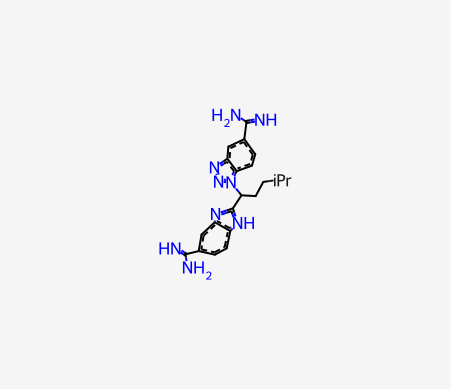 CC(C)CCC(c1nc2cc(C(=N)N)ccc2[nH]1)n1nnc2cc(C(=N)N)ccc21